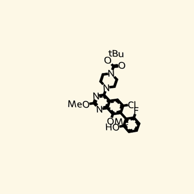 COc1nc(N2CCN(C(=O)OC(C)(C)C)CC2)c2cc(Cl)c(-c3c(O)cccc3F)c(OC)c2n1